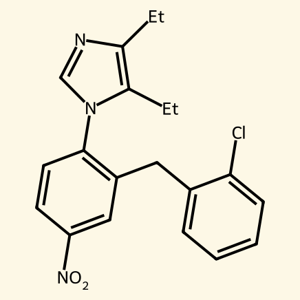 CCc1ncn(-c2ccc([N+](=O)[O-])cc2Cc2ccccc2Cl)c1CC